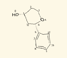 O[C@@H]1CCO[C@H](c2ccccc2)C1